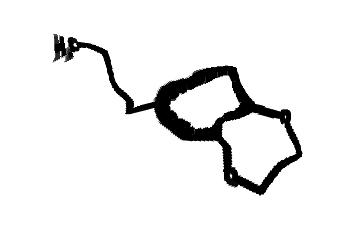 CCCc1ccc2c(c1)OCCO2